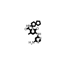 Cc1cc(Nc2cc(N)ncn2)c(=O)n2c1C(=O)NC21CCC2(CCCC2)C1